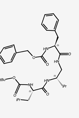 CC(C)C[C@H](NC(=O)OC(C)(C)C)C(=O)N[C@H](CNC(=O)[C@H](Cc1ccccc1)NC(=O)OCc1ccccc1)C(C)C